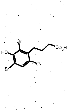 N#Cc1cc(Br)c(O)c(Br)c1CCCC(=O)O